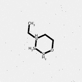 CC[SiH]1CCO[SiH2][SiH2]1